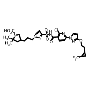 CC1(C)CC(CCCn2ccc(S(=O)(=O)NC(=O)c3ccc(-n4ccc(OCCC5CC5C(F)(F)F)n4)nc3Cl)n2)CN1C(=O)O